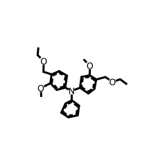 CCOCc1ccc(N(c2ccccc2)c2ccc(COCC)c(OC)c2)cc1OC